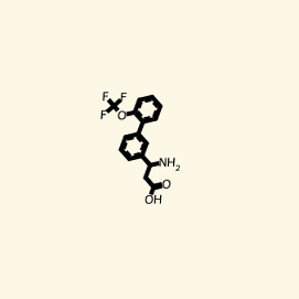 NC(CC(=O)O)c1cccc(-c2ccccc2OC(F)(F)F)c1